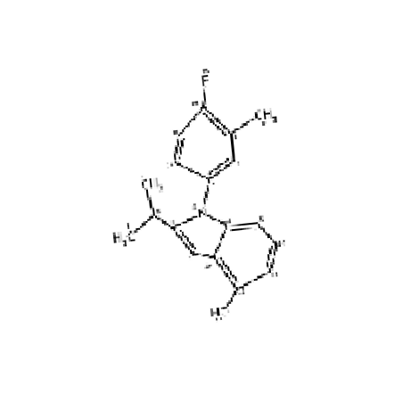 Cc1cc(-n2c(C(C)C)cc3c(O)cccc32)ccc1F